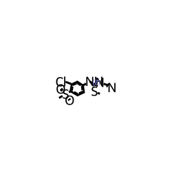 CS/C(=N\C#N)Nc1ccc(S(C)(=O)=O)c(Cl)c1